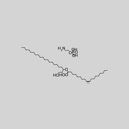 CCCCCCCC/C=C\CCCCCCCC(=O)OC(CCCCCCCCCCCCCCCCCC)C(O)CO.NCCOP(=O)(O)O